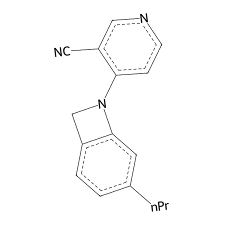 CCCc1ccc2c(c1)N(c1ccncc1C#N)C2